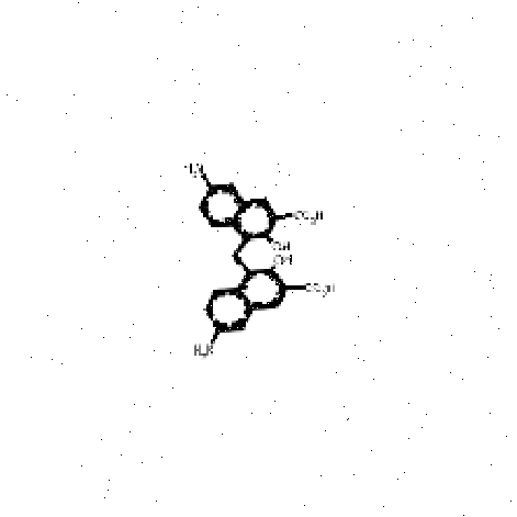 Nc1ccc2c(Cc3c(O)c(C(=O)O)cc4cc(N)ccc34)c(O)c(C(=O)O)cc2c1